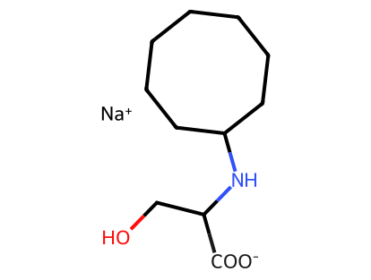 O=C([O-])C(CO)NC1CCCCCCC1.[Na+]